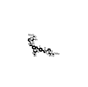 COC(=O)N[C@H](C(=O)N1CCC[C@H]1c1ncc(-c2cc(F)c3c(c2)OC(c2sc(C(C)C)nc2C)n2c-3cc3cc(-c4cnc([C@@H]5CCCN5C(=O)[C@@H](NC(=O)OC)C(C)C)[nH]4)ccc32)[nH]1)C(C)C